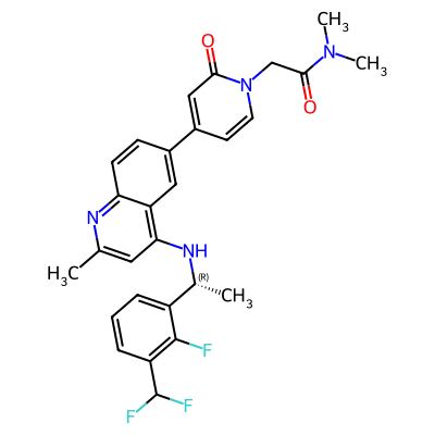 Cc1cc(N[C@H](C)c2cccc(C(F)F)c2F)c2cc(-c3ccn(CC(=O)N(C)C)c(=O)c3)ccc2n1